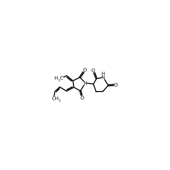 C\C=C/C=C1/C(=O)N(C2CCC(=O)NC2=O)C(=O)/C1=C/C